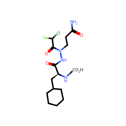 NC(=O)CCN(NC(=O)[C@H](CC1CCCCC1)NC(=O)O)C(=O)C(F)Cl